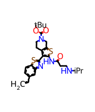 C=Cc1ccc2sc(-c3c(NC(=O)CCNC(C)C)sc4c3CCN(C(=O)OC(C)(C)C)C4)nc2c1